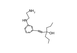 CCCC(O)(C#Cc1cccc(NCCN)c1)CCC